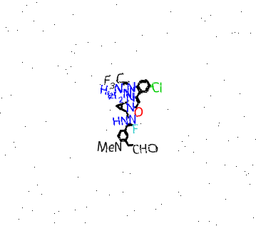 CNc1ccc(-c2[nH]c(C3C4CC4c4nc(-c5cc(Cl)ccc5N(N)/C=C(\N)C(F)(F)F)cc(=O)n43)nc2F)cc1CCC=O